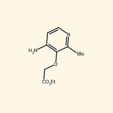 CCOC(=O)COc1c(N)ccnc1C(C)(C)C